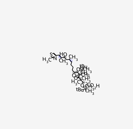 C/C(=C/CCC[C@H](C)[C@H](O[Si](C)(C)C(C)(C)C)[C@@H](C)C(=O)C(C)(C)[C@H](CC(=O)O)O[Si](C)(C)C(C)(C)C)C[C@H](O)/C(C)=C/c1csc(C)n1